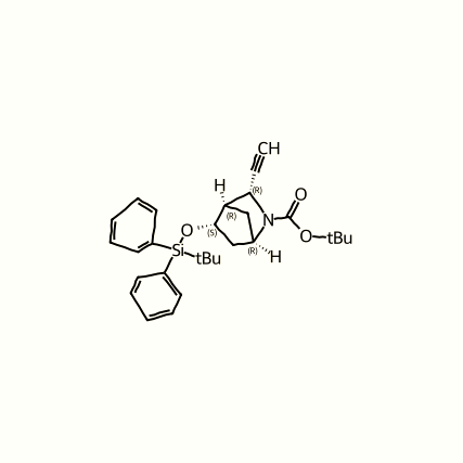 C#C[C@H]1[C@H]2C[C@H](C[C@@H]2O[Si](c2ccccc2)(c2ccccc2)C(C)(C)C)N1C(=O)OC(C)(C)C